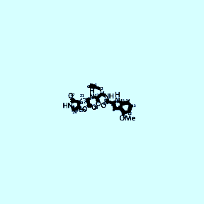 C#CC[C@H](NC(=O)c1cc2c(OC)cccc2[nH]1)C(=O)N[C@@H](C[C@@H]1CCNC1=O)C(=O)OC